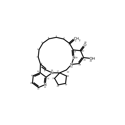 C=C1CCCCCCc2cn(c3ncccc23)C2(CCCC2)Cn2cc(O)c(=O)c1n2